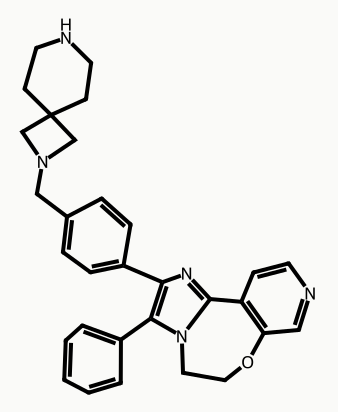 c1ccc(-c2c(-c3ccc(CN4CC5(CCNCC5)C4)cc3)nc3n2CCOc2cnccc2-3)cc1